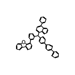 c1ccc(-c2ccc(-c3ccc(C(c4cccc(-c5cccc6c5oc5ccccc56)c4)c4ccc(-c5ccccc5)c5ccccc45)cc3)cc2)cc1